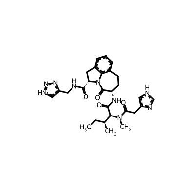 CC[C@H](C)[C@@H](C(=O)N[C@H]1CCc2cccc3c2N(C1=O)[C@H](C(=O)NCc1c[nH]nn1)C3)N(C)C(=O)Cc1c[nH]cn1